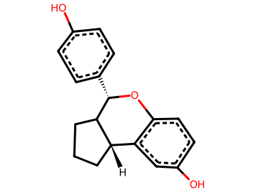 Oc1ccc([C@@H]2Oc3ccc(O)cc3[C@@H]3CCCC32)cc1